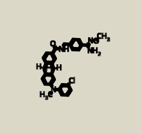 CON=C(N)c1ccc(CNC(=O)c2ccc3c(c2)[C@@H]2O[C@H]3c3ccc(N(C)c4cccc(Cl)c4)cc32)cc1